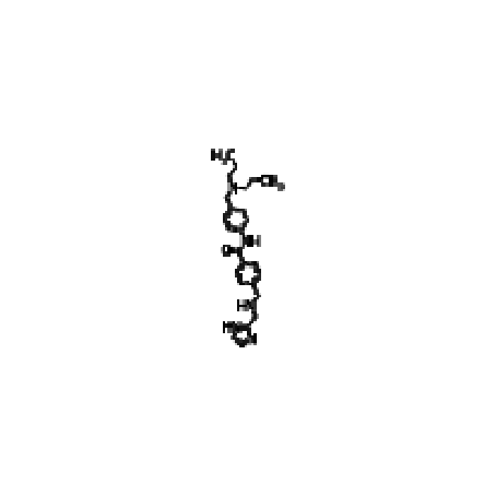 CCCN(CCC)Cc1ccc(NC(=O)c2ccc(CNCc3ncc[nH]3)cc2)cc1